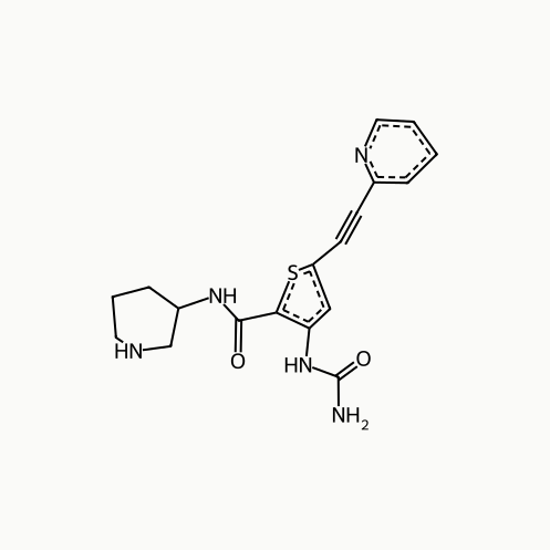 NC(=O)Nc1cc(C#Cc2ccccn2)sc1C(=O)NC1CCCNC1